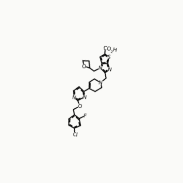 O=C(O)c1cc2c(nc(CN3CC=C(c4ccnc(OCc5ccc(Cl)cc5F)n4)CC3)n2CC2CCO2)s1